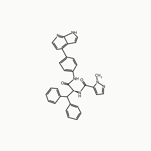 Cn1nccc1C(=O)N[C@H](C(=O)Nc1ccc(-c2ccnc3[nH]ccc23)cc1)C(c1ccccc1)c1ccccc1